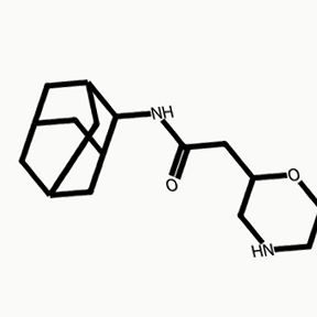 O=C(CC1CNCCO1)NC1C2CC3CC(C2)CC1C3